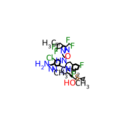 C=N/C(=C(\C=C/CC#CC(C)(O)SC1CC1)c1ccc(Cl)c2c(N)nn(C)c12)C(Cc1cc(F)cc(F)c1)NC(=O)Cn1nc(C(F)F)c2c1C(F)(F)[C@H](C)C2